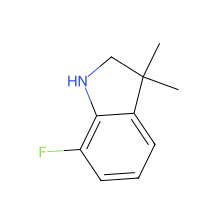 CC1(C)CNc2c(F)cccc21